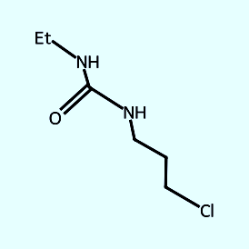 [CH2]CNC(=O)NCCCCl